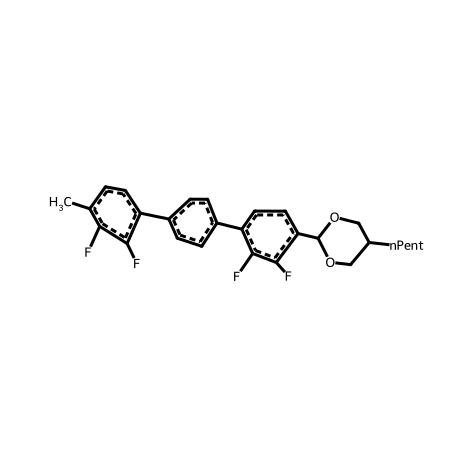 CCCCCC1COC(c2ccc(-c3ccc(-c4ccc(C)c(F)c4F)cc3)c(F)c2F)OC1